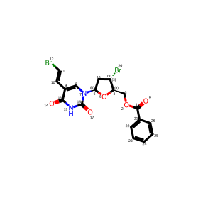 O=C(OC[C@H]1O[C@@H](n2cc(C=CBr)c(=O)[nH]c2=O)C[C@@H]1Br)c1ccccc1